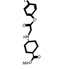 COC(=O)[C@H]1CC[C@H](NCC(=O)Oc2ccc(Cl)cc2)CC1